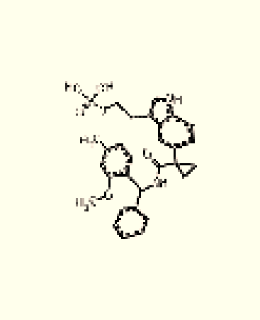 COc1cc(C)ccc1C(NC(=O)C1(c2ccc3[nH]cc(CCOP(=O)(O)O)c3c2)CC1)c1ccccc1